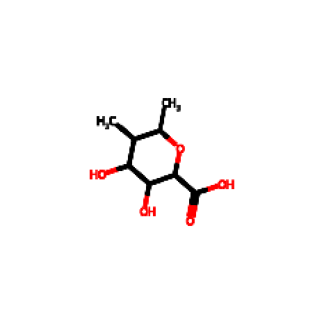 CC1OC(C(=O)O)C(O)C(O)C1C